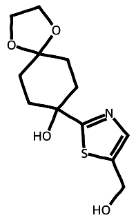 OCc1cnc(C2(O)CCC3(CC2)OCCO3)s1